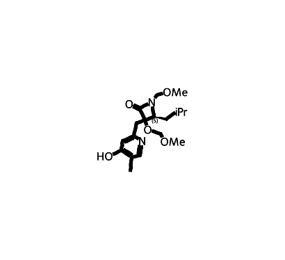 COCOC1(Cc2cc(O)c(C)cn2)C(=O)N(COC)[C@H]1CC(C)C